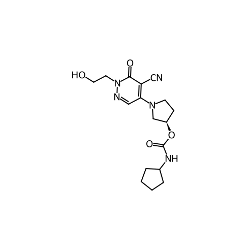 N#Cc1c(N2CC[C@@H](OC(=O)NC3CCCC3)C2)cnn(CCO)c1=O